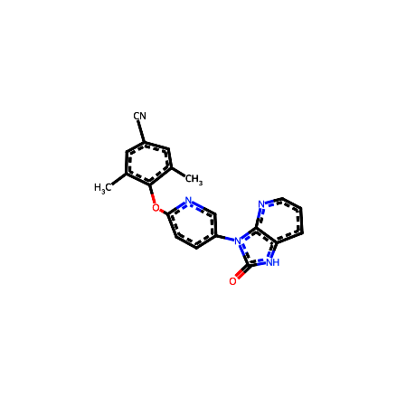 Cc1cc(C#N)cc(C)c1Oc1ccc(-n2c(=O)[nH]c3cccnc32)cn1